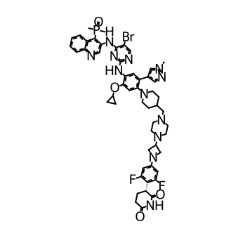 Cn1cc(-c2cc(Nc3ncc(Br)c(Nc4cnc5ccccc5c4P(C)(C)=O)n3)c(OC3CC3)cc2N2CCC(CN3CCN(C4CN(c5cc(F)c([C@H]6CCC(=O)NC6=O)c(F)c5)C4)CC3)CC2)cn1